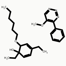 CCCCCCOC1C=C(CC)C=CC1(O)CC.COc1cnnnc1-c1ccccc1